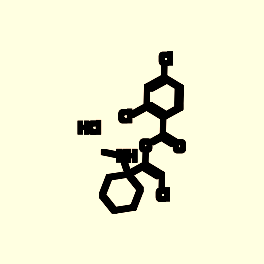 CNC1(C(=CCl)OC(=O)c2ccc(Cl)cc2Cl)CCCCC1.Cl